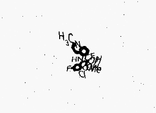 COc1c(Cl)cc(F)cc1C(Nc1cccc2nc(C)ccc12)C(O)(CO)C(F)(F)F